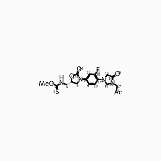 COC(=S)NC[C@H]1CN(c2ccc(N3CC(=O)N(CC(C)=O)C3)c(F)c2)C(=O)O1